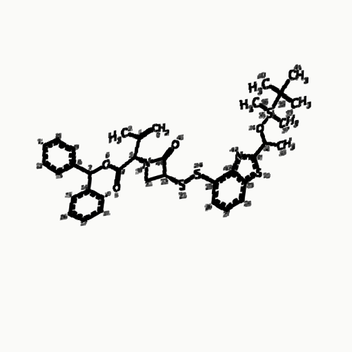 C=C(C)[C@H](C(=O)OC(c1ccccc1)c1ccccc1)N1C[C@H](SSc2cccc3sc(C(C)O[Si](C)(C)C(C)(C)C)nc23)C1=O